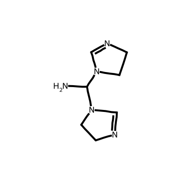 NC(N1C=NCC1)N1C=NCC1